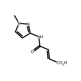 Cn1ccc(NC(=O)C=CC(=O)O)n1